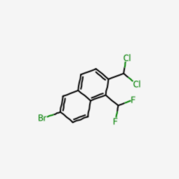 FC(F)c1c(C(Cl)Cl)ccc2cc(Br)ccc12